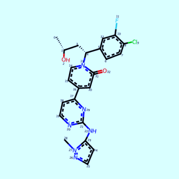 C[C@@H](O)C[C@H](c1ccc(Cl)c(F)c1)n1ccc(-c2ccnc(Nc3ccnn3C)n2)cc1=O